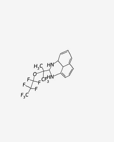 CC(OC(F)(F)C(F)(F)C(F)(F)F)(C1NC2=CC=CC3=CC=CC(N1)C32)C(F)(F)F